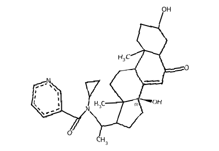 CC(C1CC[C@@]2(O)C3=CC(=O)C4CC(O)CCC4(C)C3CCC12C)N(C(=O)c1cccnc1)C1CC1